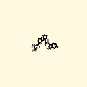 Cc1ccc2c(NC(=O)N3c4nc(C(=O)N[C@H](C)C(F)(F)F)ccc4N4CCC3C4)n[nH]c2n1